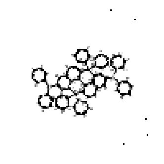 c1ccc(N(c2ccccc2)c2cc3c4c5c(ccc4c2)C(c2ccccc2)(c2ccccc2)c2cc(N(c4ccccc4)c4ccccc4)cc4ccc(c-5c24)C3(c2ccccc2)c2ccccc2)cc1